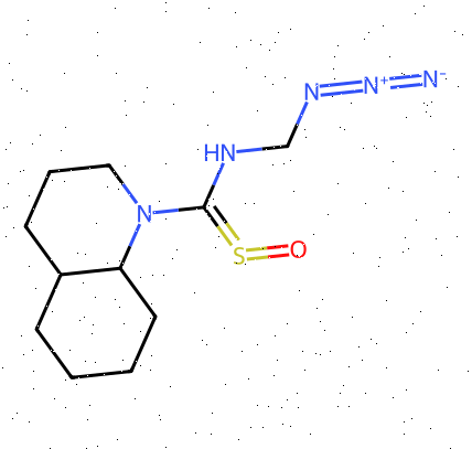 [N-]=[N+]=NCNC(=S=O)N1CCCC2CCCCC21